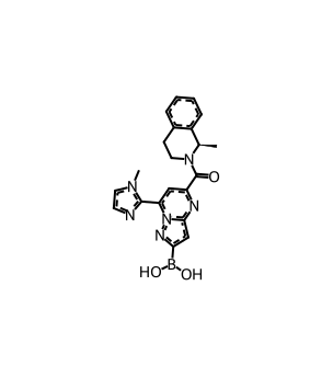 C[C@@H]1c2ccccc2CCN1C(=O)c1cc(-c2nccn2C)n2nc(B(O)O)cc2n1